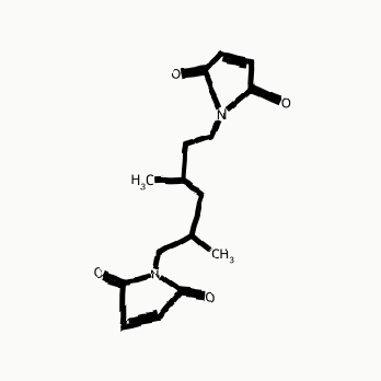 CC(CCN1C(=O)C=CC1=O)CC(C)CN1C(=O)C=CC1=O